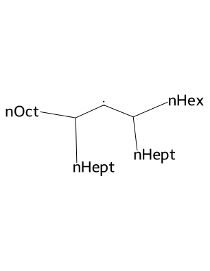 CCCCCCCCC([CH]C(CCCCCC)CCCCCCC)CCCCCCC